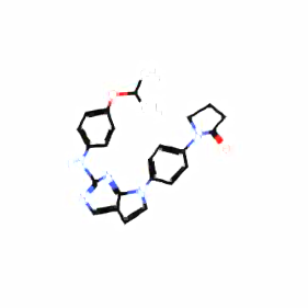 CC(C)Oc1ccc(Nc2ncc3ccn(-c4ccc(N5CCCC5=O)cc4)c3n2)cc1